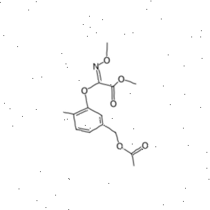 CO/N=C(/Oc1cc(COC(C)=O)ccc1C)C(=O)OC